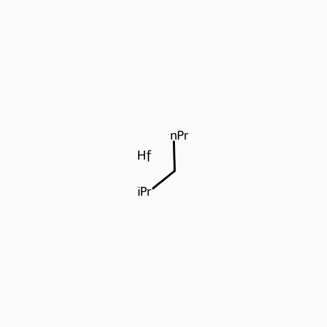 [CH2]CCCC(C)C.[Hf]